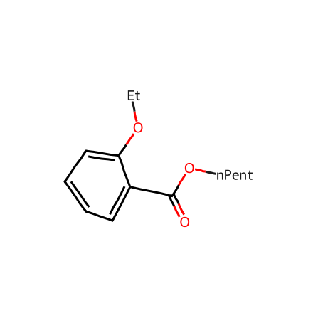 CCCCCOC(=O)c1ccccc1OCC